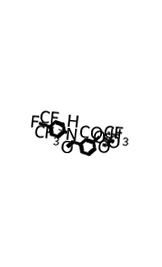 O=C(Nc1ccc(C(F)(C(F)(F)F)C(F)(F)F)cc1)c1cccc(OS(=O)(=O)C(F)(F)F)c1C(=O)O